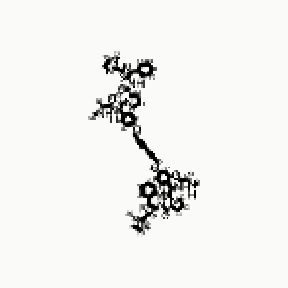 CN[C@@H](C)C(=O)N[C@H](C(=O)N1CCC[C@H]1C(=O)Nc1sc(-c2nccn2C)nc1-c1ccccc1)c1ccc(OCC#CC#CCOc2ccc([C@H](NC(=O)[C@H](C)NC)C(=O)N3CCC[C@H]3C(=O)Nc3sc(-c4nccn4C)nc3-c3ccccc3)cc2)cc1